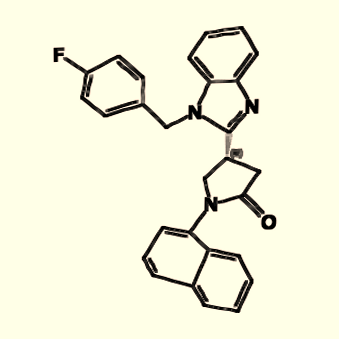 O=C1C[C@@H](c2nc3ccccc3n2Cc2ccc(F)cc2)CN1c1cccc2ccccc12